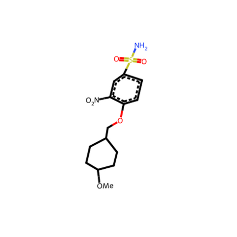 COC1CCC(COc2ccc(S(N)(=O)=O)cc2[N+](=O)[O-])CC1